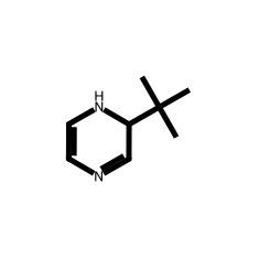 CC(C)(C)C1C=NC=CN1